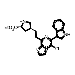 CCOC(=O)[C@@H]1C[C@H](CCc2nc(-c3c[nH]c4ccccc34)c(Cl)n3ccnc23)CN1